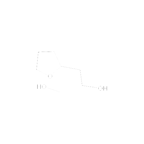 CO.OCCC1CCCO1